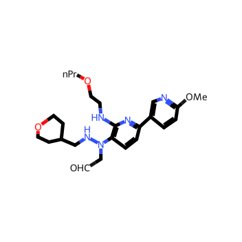 CCCOCCNc1nc(-c2ccc(OC)nc2)ccc1N(CC=O)NCC1CCOCC1